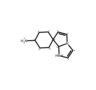 NC1CCC2(C=CN3C=CNC32)CC1